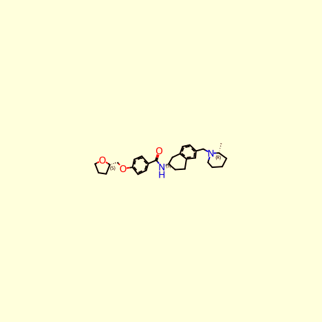 C[C@@H]1CCCCN1Cc1ccc2c(c1)CC[C@H](NC(=O)c1ccc(OC[C@@H]3CCCO3)cc1)C2